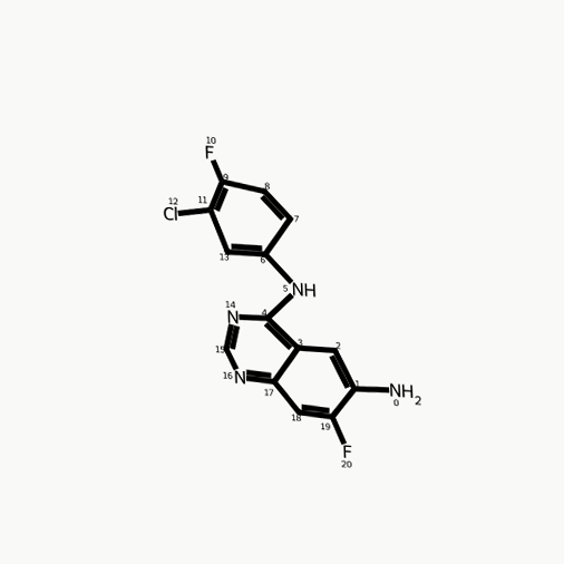 Nc1cc2c(Nc3ccc(F)c(Cl)c3)ncnc2cc1F